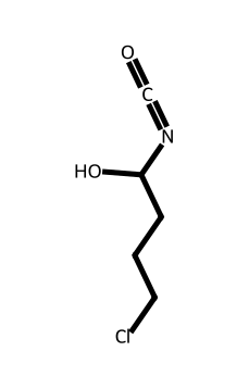 O=C=NC(O)CCCCl